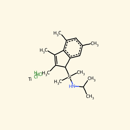 CC1=C(C)C([Si](C)(C)NC(C)C)c2cc(C)cc(C)c21.Cl.Cl.[Ti]